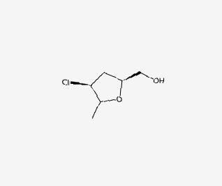 CC1O[C@H](CO)C[C@@H]1Cl